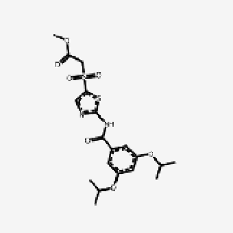 COC(=O)CS(=O)(=O)c1cnc(NC(=O)c2cc(OC(C)C)cc(OC(C)C)c2)s1